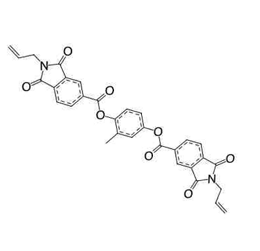 C=CCN1C(=O)c2ccc(C(=O)Oc3ccc(OC(=O)c4ccc5c(c4)C(=O)N(CC=C)C5=O)c(C)c3)cc2C1=O